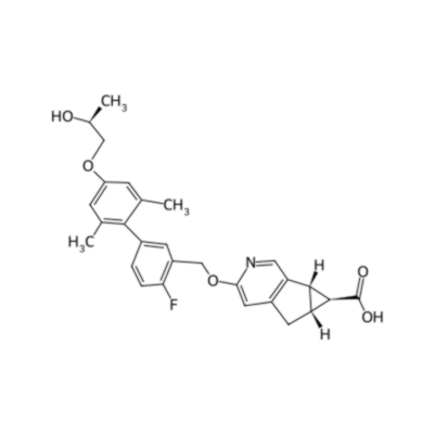 Cc1cc(OC[C@H](C)O)cc(C)c1-c1ccc(F)c(COc2cc3c(cn2)[C@H]2[C@@H](C3)[C@@H]2C(=O)O)c1